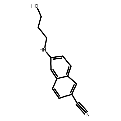 N#Cc1ccc2cc(NCCCO)ccc2c1